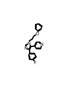 Fc1ccc(-c2ncn(CCCOc3ccccc3)c2-c2ccncc2)cc1